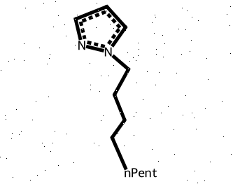 CCCCCCCCCn1cccn1